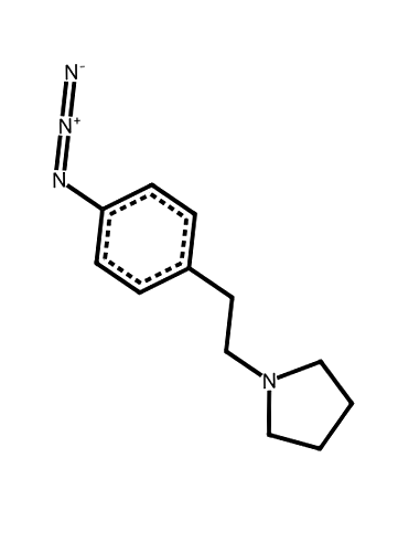 [N-]=[N+]=Nc1ccc(CCN2CCCC2)cc1